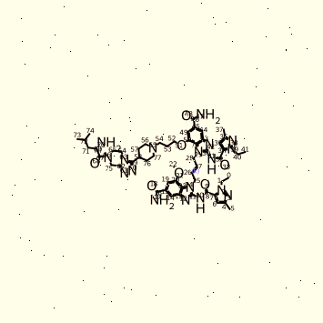 CCn1nc(C)cc1C(=O)Nc1nc2cc(C(N)=O)cc(OC)c2n1C/C=C/Cn1c(NC(=O)c2cc(C)nn2CC)nc2cc(C(N)=O)cc(OCCCN3CCC(c4nnc5n4CCN(C(=O)[C@@H](N)CC(C)C)C5)CC3)c21